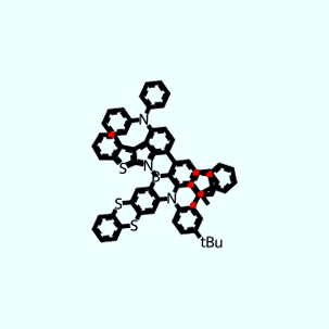 CC(C)(C)c1ccc(N2c3cc4c(cc3B3c5c(cc6c(c52)C(C)(C)c2ccccc2-6)-c2ccc(N(c5ccccc5)c5ccccc5)c5c6c7ccccc7sc6n3c25)Sc2ccccc2S4)c(-c2ccccc2)c1